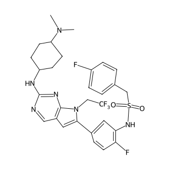 CN(C)C1CCC(Nc2ncc3cc(-c4ccc(F)c(NS(=O)(=O)Cc5ccc(F)cc5)c4)n(CC(F)(F)F)c3n2)CC1